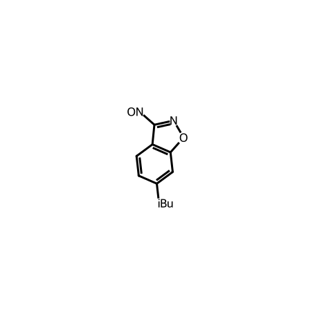 CCC(C)c1ccc2c(N=O)noc2c1